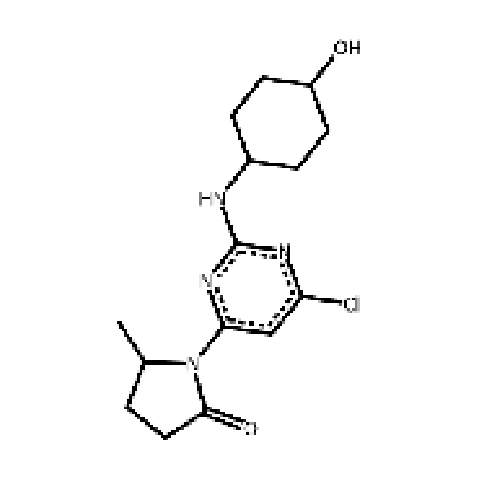 CC1CCC(=O)N1c1cc(Cl)nc(NC2CCC(O)CC2)n1